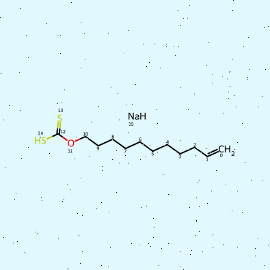 C=CCCCCCCCCCOC(=S)S.[NaH]